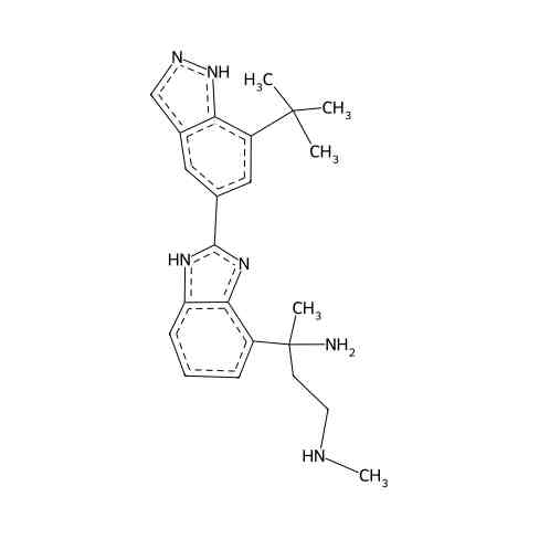 CNCCC(C)(N)c1cccc2[nH]c(-c3cc(C(C)(C)C)c4[nH]ncc4c3)nc12